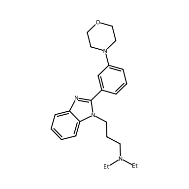 CCN(CC)CCCn1c(-c2cccc(N3CCOCC3)c2)nc2ccccc21